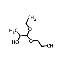 CCCOC(OCC)C(C)O